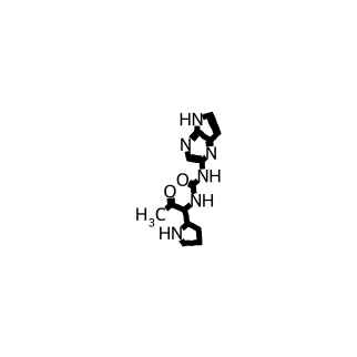 CC(=O)C(NC(=O)Nc1cnc2[nH]ccc2n1)C1CCCN1